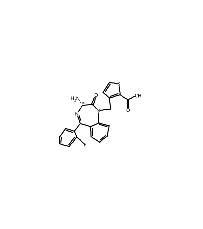 CC(=O)c1sccc1CN1C(=O)[C@@H](N)N=C(c2ccccc2F)c2ccccc21